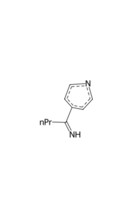 CCCC(=N)c1ccncc1